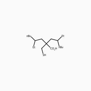 CCCCC(CC)CC(CS)(CC(CC)CCCC)C(=O)O